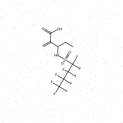 C=C(C(=O)O)C(CC)NS(=O)(=O)C(F)(F)C(F)(F)C(F)(F)C(F)(F)F